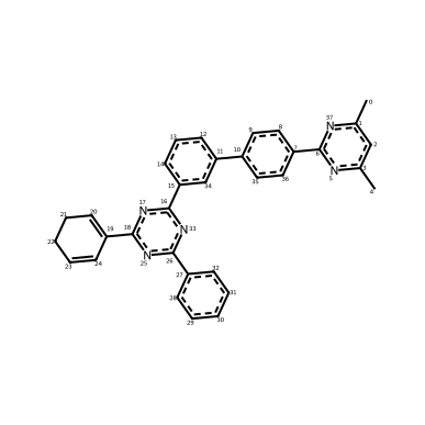 Cc1cc(C)nc(-c2ccc(-c3cccc(-c4nc(C5=CCCC=C5)nc(-c5ccccc5)n4)c3)cc2)n1